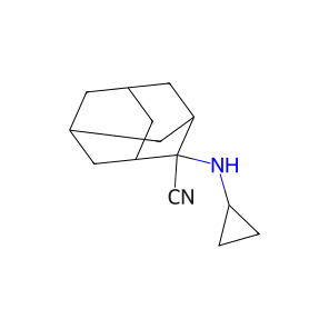 N#CC1(NC2CC2)C2CC3CC(C2)CC1C3